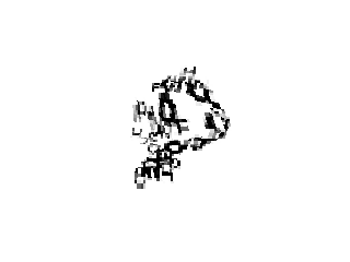 Cc1nc2c(F)cc(-c3nc(Nc4ccc(CN5CCN(CC6CN(c7ccc8c(c7)C(=O)N(C7CCC(=O)NC7=O)C8=O)C6)CC5)cn4)ncc3F)cc2n1C(C)C